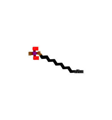 CCCCCCCCCCCCCCCCC=CSP(O)(O)=S